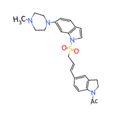 CC(=O)N1CCc2cc(C=CCS(=O)(=O)n3ccc4ccc(N5CCN(C)CC5)cc43)ccc21